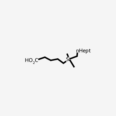 CCCCCCCC[Si](C)(C)CCCCC(=O)O